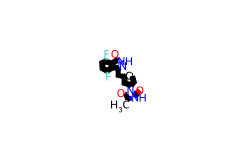 CC1NC(=O)N(c2cccc(Cc3n[nH]c(=O)c4c(F)ccc(F)c34)c2)C1=O